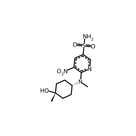 CN(c1ncc(S(N)(=O)=O)cc1[N+](=O)[O-])[C@H]1CC[C@@](C)(O)CC1